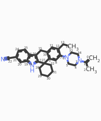 C=C(C)N1CCN(c2cc3c(cc2CC)Cc2c([nH]c4cc(C#N)ccc24)C32CCCCC2)CC1